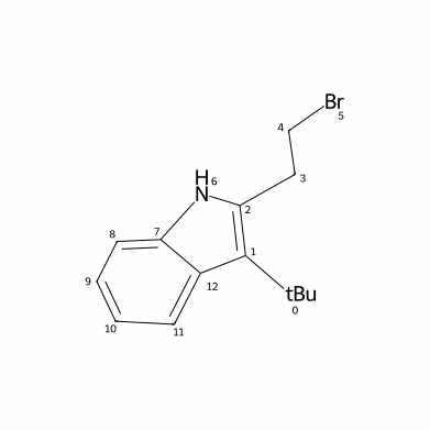 CC(C)(C)c1c(CCBr)[nH]c2ccccc12